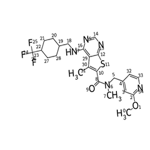 COc1cc(CN(C)C(=O)c2sc3ncnc(NCC4CCC(C(F)(F)F)CC4)c3c2C)ccn1